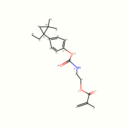 C=C(C)C(=O)OCCNC(=O)Oc1ccc(C2(CC)CC2(C)C)cc1